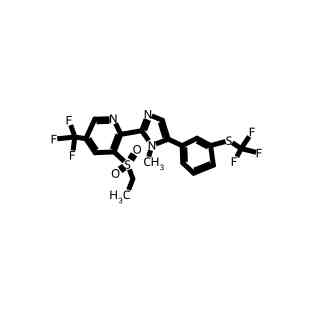 CCS(=O)(=O)c1cc(C(F)(F)F)cnc1-c1ncc(-c2cccc(SC(F)(F)F)c2)n1C